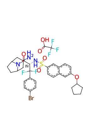 NC1CC2CCC(C1)N2C(=O)[C@H](NS(=O)(=O)c1ccc2cc(OC3CCCC3)ccc2c1)C(F)(F)c1ccc(Br)cc1.O=C(O)C(F)(F)F